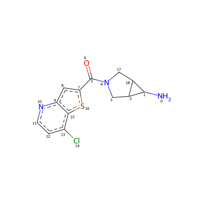 NC1C2CN(C(=O)c3cc4nccc(Cl)c4s3)CC12